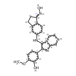 COc1ccc(-c2nc3cnccn3c2Nc2ccc3c(c2)CC/C3=N\O)cc1O